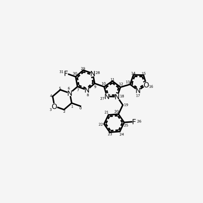 CC1COCCN1c1nc(-c2cc(-c3ccon3)n(Cc3ccccc3F)n2)ncc1F